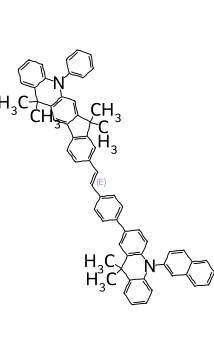 CC1(C)c2cc(/C=C/c3ccc(-c4ccc5c(c4)C(C)(C)c4ccccc4N5c4ccc5ccccc5c4)cc3)ccc2-c2cc3c(cc21)N(c1ccccc1)c1ccccc1C3(C)C